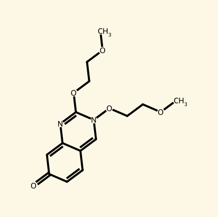 COCCOc1nc2cc(=O)ccc-2cn1OCCOC